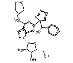 OC[C@H]1O[C@@H](n2cnc3c(NC4CCOC4)nc(C4(C(O)c5ccccc5)C=NN=N4)nc32)[C@H](O)[C@@H]1O